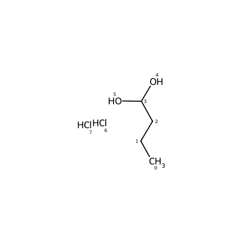 CCCC(O)O.Cl.Cl